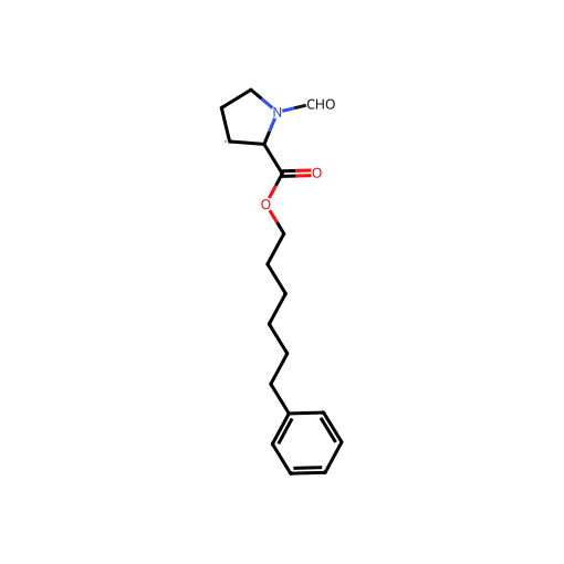 O=CN1CC[CH]C1C(=O)OCCCCCCc1ccccc1